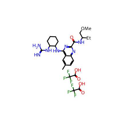 CCC(COC)NC(=O)c1nc(NC2CCCCC2NC(=N)N)c2cc(C)ccc2n1.O=C(O)C(F)(F)F.O=C(O)C(F)(F)F